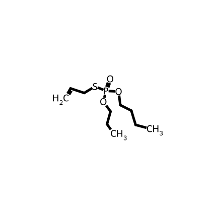 C=CCSP(=O)(OCCC)OCCCC